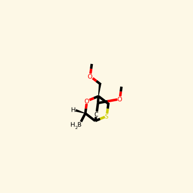 B[C@@H]1O[C@]2(COC)CSC1CC2OC